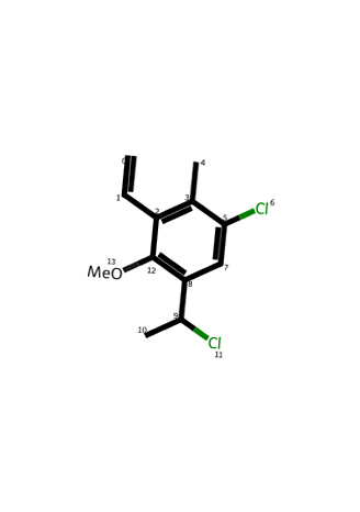 C=Cc1c(C)c(Cl)cc(C(C)Cl)c1OC